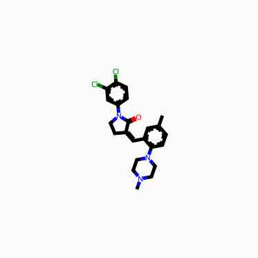 Cc1ccc(N2CCN(C)CC2)c(C=C2CCN(c3ccc(Cl)c(Cl)c3)C2=O)c1